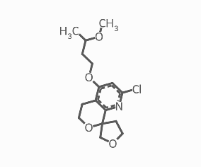 COC(C)CCOc1cc(Cl)nc2c1CCOC21CCOC1